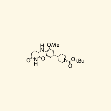 COc1cc(C2CCN(C(=O)OC(C)(C)C)CC2)ccc1NC1CCC(=O)NC1=O